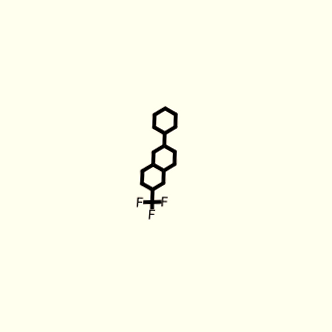 FC(F)(F)C1CCC2CC(C3CCCCC3)CCC2C1